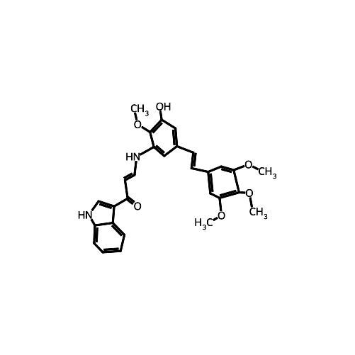 COc1cc(C=Cc2cc(O)c(OC)c(NC=CC(=O)c3c[nH]c4ccccc34)c2)cc(OC)c1OC